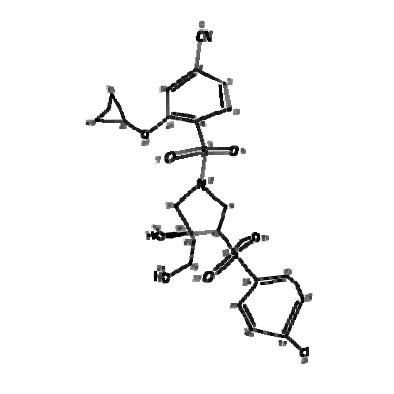 N#Cc1ccc(S(=O)(=O)N2CC(S(=O)(=O)c3ccc(Cl)cc3)[C@](O)(CO)C2)c(OC2CC2)c1